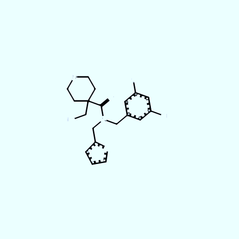 CC(C)CC1(C(=O)N(Cc2cc(C(F)(F)F)cc(C(F)(F)F)c2)Cc2ccco2)CCNCC1